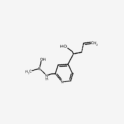 C=CCC(O)c1ccnc(NB(C)O)c1